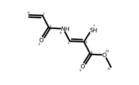 C=CC(=O)NC=C(S)C(=O)OC